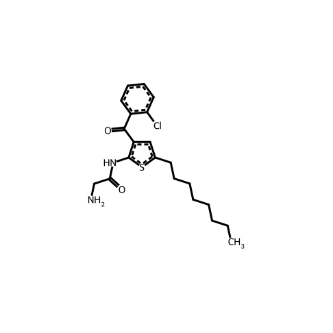 CCCCCCCCc1cc(C(=O)c2ccccc2Cl)c(NC(=O)CN)s1